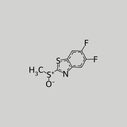 C[S+]([O-])c1nc2cc(F)c(F)cc2s1